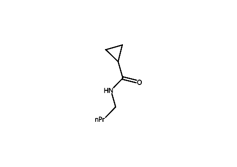 [CH2]CCCNC(=O)C1CC1